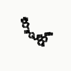 COc1ccc2nccc([C@@H](O)CN3CCC(NCc4ccc5snnc5c4)CC3)c2c1